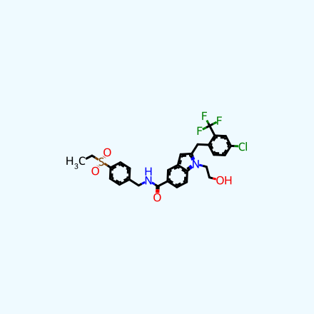 CCS(=O)(=O)c1ccc(CNC(=O)c2ccc3c(c2)cc(Cc2ccc(Cl)cc2C(F)(F)F)n3CCO)cc1